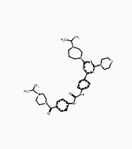 CC(C)N1CCN(C(=O)c2ccc(NC(=O)Nc3ccc(-c4nc(N5CCOCC5)nc(N5CCCN(C(C)C)CC5)n4)cc3)cc2)CC1